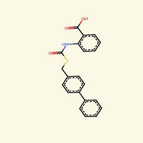 O=C(Nc1ccccc1C(=O)O)SCc1ccc(-c2ccccc2)cc1